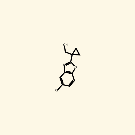 OCC1(c2nc3cc(Cl)ccc3o2)CC1